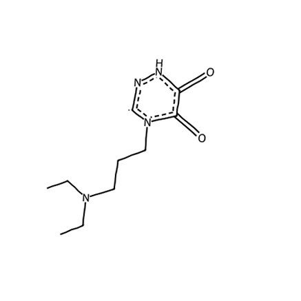 CCN(CC)CCCn1[c]n[nH]c(=O)c1=O